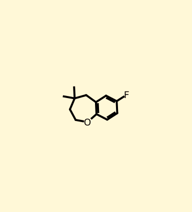 CC1(C)CCOc2ccc(F)cc2C1